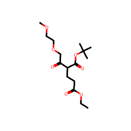 CCOC(=O)CCC(C(=O)COCCOC)C(=O)OC(C)(C)C